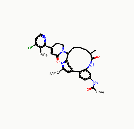 COC(=O)Nc1ccc2c(c1)NC(=O)C(C)CCCC(N1CCC(c3nccc(Cl)c3OC)=CC1=O)c1cc-2cc(OC)n1